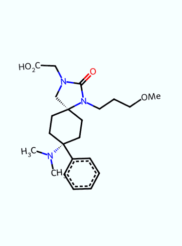 COCCCN1C(=O)N(CC(=O)O)C[C@]12CC[C@@](c1ccccc1)(N(C)C)CC2